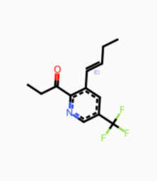 CC/C=C/c1cc(C(F)(F)F)cnc1C(=O)CC